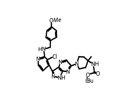 COc1ccc(CNc2nccc(-c3n[nH]c4nc(N5CCC(C)(NC(=O)OC(C)(C)C)CC5)cnc34)c2Cl)cc1